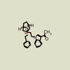 CC(=O)c1cn(CCCN2[C@@H]3CC[C@H]2C[C@@H](CCc2ccccc2)C3)c2ccccc12